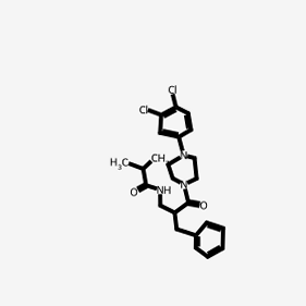 CC(C)C(=O)NCC(Cc1ccccc1)C(=O)N1CCN(c2ccc(Cl)c(Cl)c2)CC1